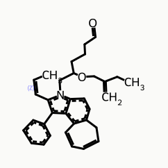 C=C(CC)COC(CCCC=O)Cn1c(/C=C\C)c(-c2ccccc2)c2c3c(ccc21)CC=CC=C3